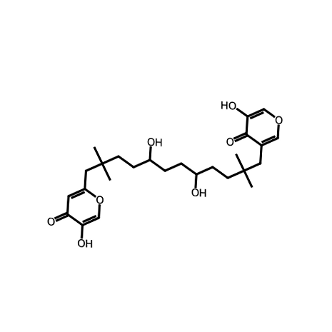 CC(C)(CCC(O)CCC(O)CCC(C)(C)Cc1cocc(O)c1=O)Cc1cc(=O)c(O)co1